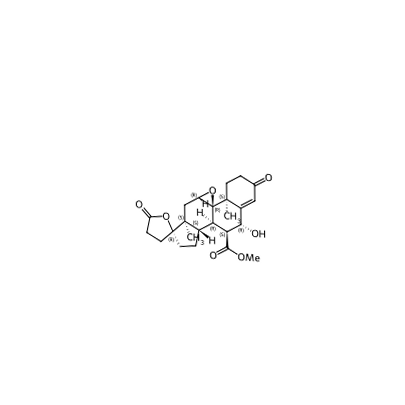 COC(=O)[C@H]1[C@H]2[C@@H]3CC[C@@]4(CCC(=O)O4)[C@@]3(C)C[C@H]3O[C@@]23[C@@]2(C)CCC(=O)C=C2[C@@H]1O